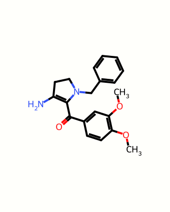 COc1ccc(C(=O)C2=C(N)CCN2Cc2ccccc2)cc1OC